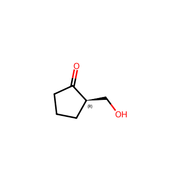 O=C1CCC[C@@H]1CO